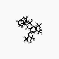 CC(C)(C)c1cc(CP(C(C)(C)C)C(C)(C)C)c(CP(C(C)(C)C)C23CC4CC(CC(C4)C2)C3)cc1C(C)(C)C